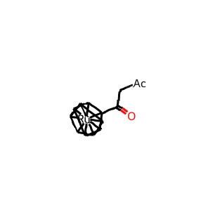 CC(=O)CC(=O)[C]12[CH]3[CH]4[CH]5[CH]1[Ru]45321678[CH]2[CH]1[CH]6[CH]7[CH]28